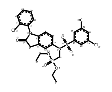 CCOP(=O)(CN(c1ccc2c(c1)CC(=O)N2c1ccccc1Cl)S(=O)(=O)c1cc(Cl)cc(Cl)c1)OCC